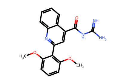 COc1cccc(OC)c1-c1cc(C(=O)NC(=N)N)c2ccccc2n1